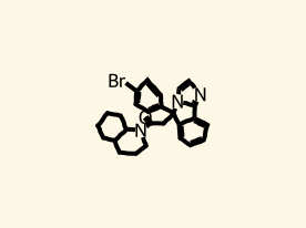 O=C(CC1(c2ccc(Br)cc2)c2ccccc2-c2nccn21)N1CCCC2CCCCC21